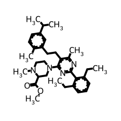 CCc1cccc(CC)c1-c1nc(C)c(CCc2cc(C(C)C)ccc2C)c(N2CCN(C)C(C(=O)OC)C2)n1